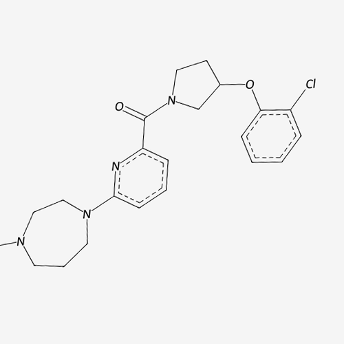 CN1CCCN(c2cccc(C(=O)N3CCC(Oc4ccccc4Cl)C3)n2)CC1